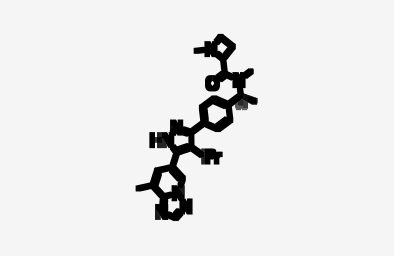 Cc1cc(-c2[nH]nc(-c3ccc([C@H](C)N(C)C(=O)C4CCN4C)cc3)c2C(C)C)cn2ncnc12